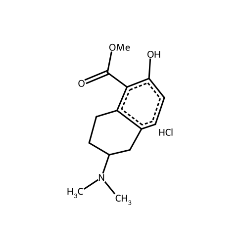 COC(=O)c1c(O)ccc2c1CCC(N(C)C)C2.Cl